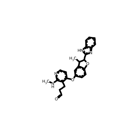 CNc1nccc(Oc2ccc3c(c2)C(C)C(c2nc4ccccc4[nH]2)O3)c1CCC=O